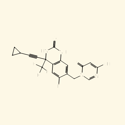 Cc1cc(=O)n(Cc2cc3c(cc2F)C(C#CC2CC2)(C(F)(F)F)NC(=O)N3)cn1